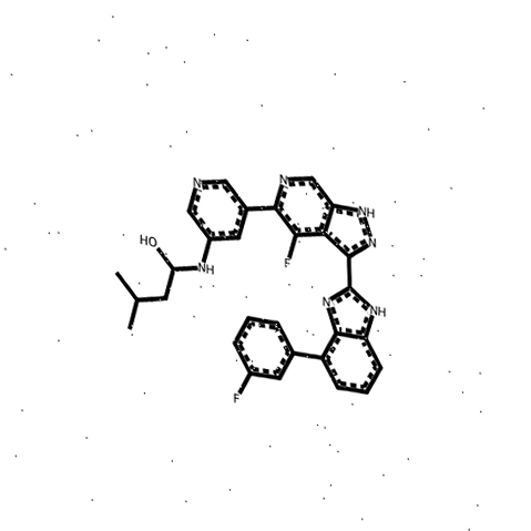 CC(C)CC(O)Nc1cncc(-c2ncc3[nH]nc(-c4nc5c(-c6cccc(F)c6)cccc5[nH]4)c3c2F)c1